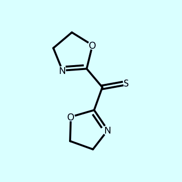 S=C(C1=NCCO1)C1=NCCO1